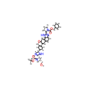 COC[C@H]1C[C@@H](c2ncc(-c3ccc4c(c3)COc3cc5c(ccc6nc(C7CC[C@H](C)N7C(=O)OCc7ccccc7)[nH]c65)cc3-4)[nH]2)N(C(=O)OC(C)(C)C)C1